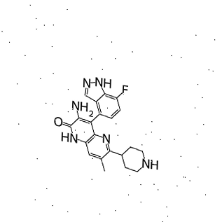 Cc1cc2[nH]c(=O)c(N)c(-c3ccc(F)c4[nH]ncc34)c2nc1C1CCNCC1